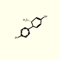 CC(C)c1ccc(C2C=CC(S)=C[C@H]2C)cc1